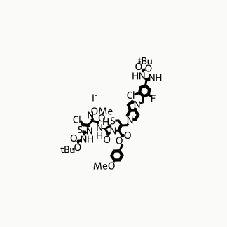 CO/N=C(\C(=O)N[C@@H]1C(=O)N2C(C(=O)OCc3ccc(OC)cc3)=C(C[n+]3ccc4c(ccn4Cc4c(F)cc(C(=N)NC(=O)OC(C)(C)C)cc4Cl)c3)CS[C@H]12)c1nc(NC(=O)OC(C)(C)C)sc1Cl.[I-]